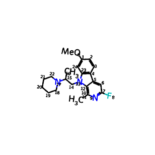 COc1ccc2c3cc(F)nc(C)c3n(CC(C)N3CCCCC3)c2c1